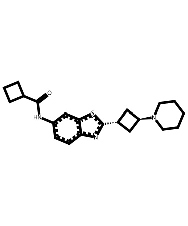 O=C(Nc1ccc2nc([C@H]3C[C@H](N4CCCCC4)C3)sc2c1)C1CCC1